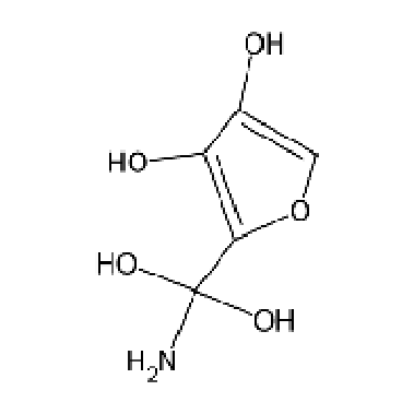 NC(O)(O)c1occ(O)c1O